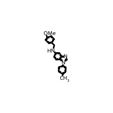 COc1ccc(CNc2ccc3c(c2)ncn3-c2ccc(C)cc2)cc1